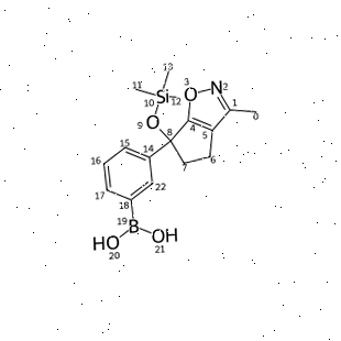 Cc1noc2c1CCC2(O[Si](C)(C)C)c1cccc(B(O)O)c1